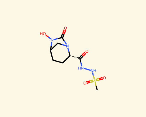 CS(=O)(=O)NNC(=O)[C@@H]1CCC2CN1C(=O)N2O